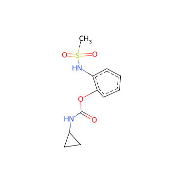 CS(=O)(=O)Nc1ccccc1OC(=O)NC1CC1